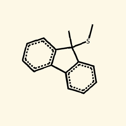 CSC1(C)c2ccccc2-c2ccccc21